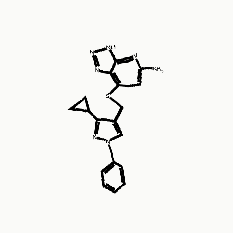 Nc1cc(SCc2cn(-c3ccccc3)nc2C2CC2)c2nn[nH]c2n1